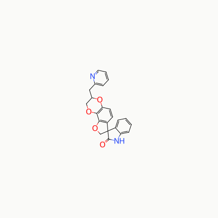 O=C1Nc2ccccc2C12COc1c2ccc2c1OCC(Cc1ccccn1)O2